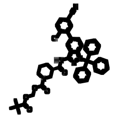 CC(C)(C)C(=O)OCOC(=O)N1CCC[C@@H](C(=O)Nc2nn(C(c3ccccc3)(c3ccccc3)c3ccccc3)c3ccc(-c4cc(C#N)ccc4Cl)cc23)C1